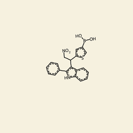 O=[N+]([O-])CC(c1cc(B(O)O)cs1)c1c(-c2ccccc2)[nH]c2ccccc12